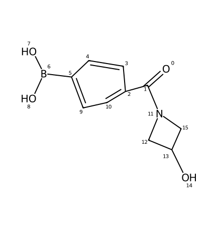 O=C(c1ccc(B(O)O)cc1)N1CC(O)C1